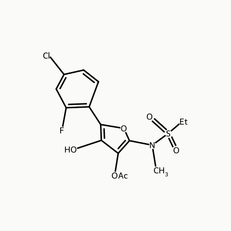 CCS(=O)(=O)N(C)c1oc(-c2ccc(Cl)cc2F)c(O)c1OC(C)=O